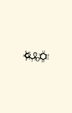 O=C(Cc1cccs1)OC1CCCCC1